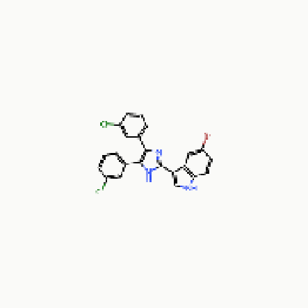 Clc1cccc(-c2nc(-c3c[nH]c4ccc(Br)cc34)[nH]c2-c2cccc(Cl)c2)c1